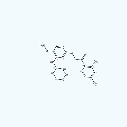 COc1ccc(CCC(=O)c2ccc(O)cc2O)cc1OC1CCCCO1